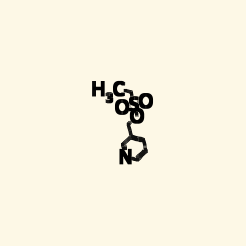 CCS(=O)(=O)OCc1cccnc1